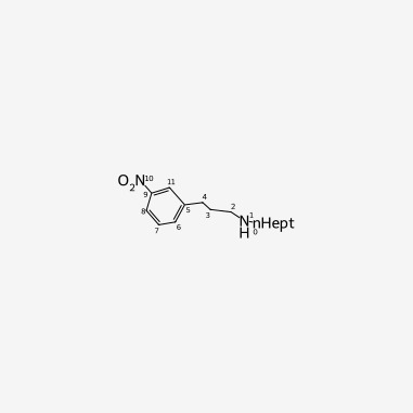 CCCCCCCNCCCc1cccc([N+](=O)[O-])c1